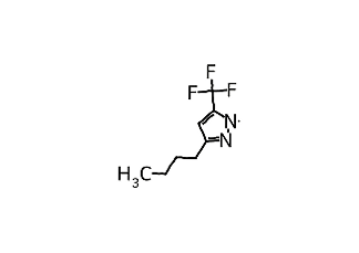 CCCCC1=N[N]C(C(F)(F)F)=C1